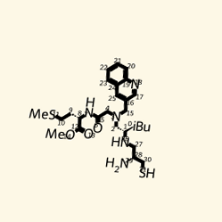 CC[C@H](C)[C@@H](CN(CC(=O)N[C@@H](CCSC)C(=O)OC)Cc1cnc2ccccc2c1)NC[C@@H](N)CS